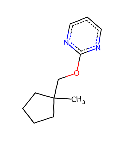 CC1(COc2ncccn2)CCCC1